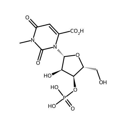 Cn1c(=O)cc(C(=O)O)n([C@@H]2O[C@H](CO)[C@@H](OP(=O)(O)O)[C@H]2O)c1=O